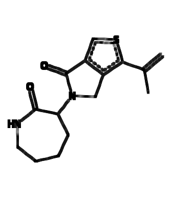 C=C(C)c1scc2c1CN(C1CCCCNC1=O)C2=O